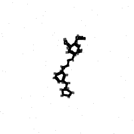 COc1c[nH]c(CCCOc2cccc(CN3CCCC3)c2)nc1=O